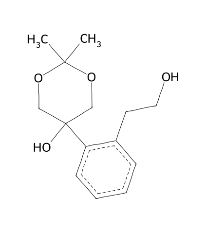 CC1(C)OCC(O)(c2ccccc2CCO)CO1